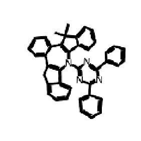 CC1(C)C2=C(c3ccccc31)N(c1nc(-c3ccccc3)nc(-c3ccccc3)n1)C1=C(Cc3ccccc31)c1ccccc12